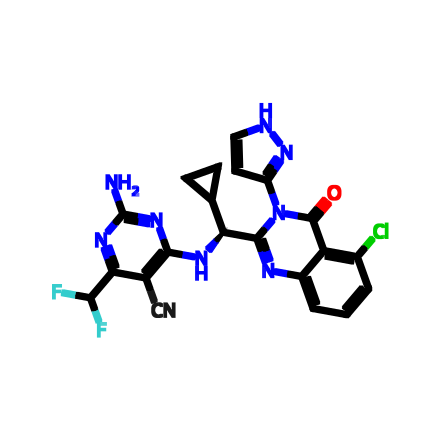 N#Cc1c(N[C@H](c2nc3cccc(Cl)c3c(=O)n2-c2cc[nH]n2)C2CC2)nc(N)nc1C(F)F